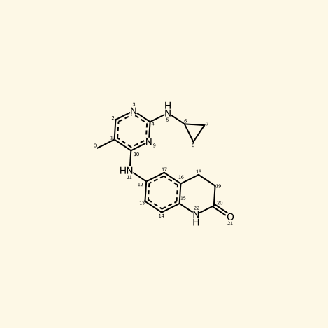 Cc1cnc(NC2CC2)nc1Nc1ccc2c(c1)CCC(=O)N2